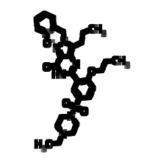 CCCOc1ccc(S(=O)(=O)N2CCN(CC)CC2)cc1-c1nc2c(CCC)n(Cc3cccc[n+]3[O-])nc2c(=O)[nH]1